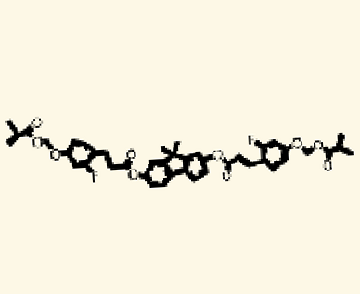 C=C(C)C(=O)OCOc1ccc(C=CC(=O)Oc2ccc3c(c2)C(C)(C)c2cc(OC(=O)C=Cc4ccc(OCOC(=O)C(=C)C)cc4F)ccc2-3)c(F)c1